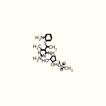 C=C(Sc1ccccc1N)c1c(C)nc(N)nc1N[C@@H]1C[C@H](COS(C)(=O)=O)[C@@H](O)[C@H]1O